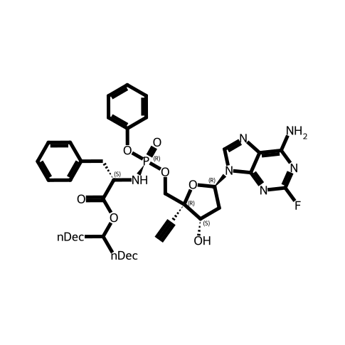 C#C[C@]1(CO[P@](=O)(N[C@@H](Cc2ccccc2)C(=O)OC(CCCCCCCCCC)CCCCCCCCCC)Oc2ccccc2)O[C@@H](n2cnc3c(N)nc(F)nc32)C[C@@H]1O